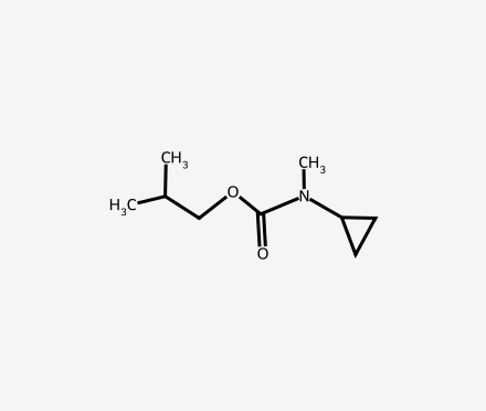 CC(C)COC(=O)N(C)C1CC1